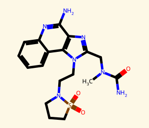 CN(Cc1nc2c(N)nc3ccccc3c2n1CCN1CCCS1(=O)=O)C(N)=O